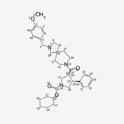 COc1ccc(CN2CCC3(CCN(C(=O)[C@@H]4CN(C(=O)OC5CCCCC5)C[C@@H]4c4ccccc4)CC3)C2)cc1